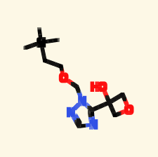 C[Si](C)(C)CCOCn1ncnc1C1(O)COC1